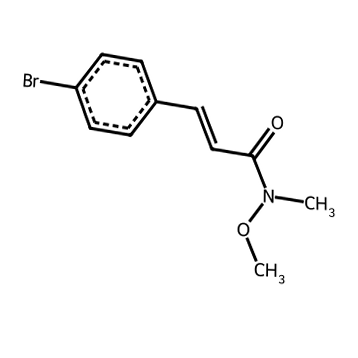 CON(C)C(=O)/C=C/c1ccc(Br)cc1